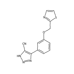 N#Cc1[nH]nnc1-c1cccc(OCc2nccs2)c1